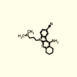 CN(C)CCCn1c2ccc(C#N)cc2c2c(N)c3c(nc21)CCCC3